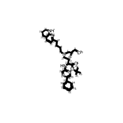 COCC(F)CN(CCCCc1ccc2c(n1)NCCC2)CCC(Nc1cnc(-c2ccccc2)cn1)C(=O)OC(C)(C)C